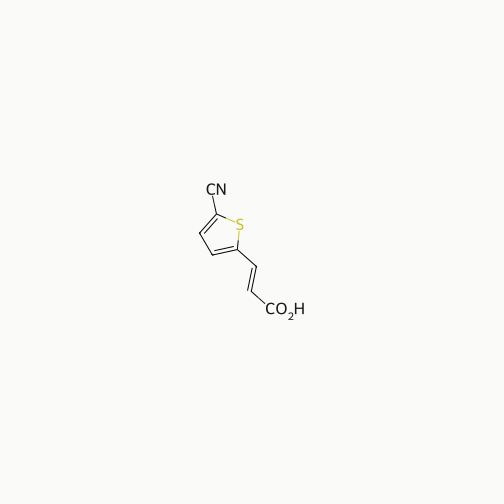 N#Cc1ccc(C=CC(=O)O)s1